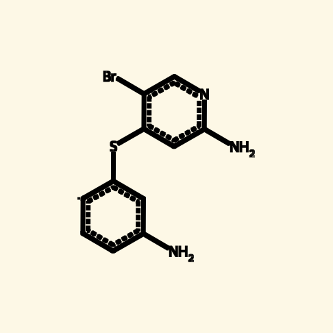 Nc1cc[c]c(Sc2cc(N)ncc2Br)c1